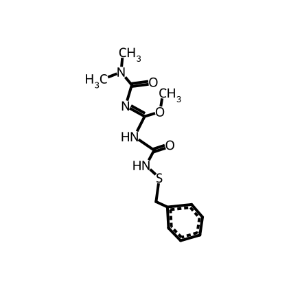 COC(=NC(=O)N(C)C)NC(=O)NSCc1ccccc1